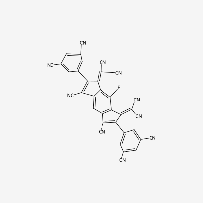 N#CC(C#N)=C1C(c2cc(C#N)cc(C#N)c2)=C(C#N)c2cc3c(c(F)c21)C(=C(C#N)C#N)C(c1cc(C#N)cc(C#N)c1)=C3C#N